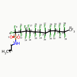 C=CCNS(=O)(=O)C(F)(F)C(F)(F)C(F)(F)C(F)(F)C(F)(F)C(F)(F)C(F)(F)C(F)(F)C(F)(F)C(F)(F)C(F)(F)C(F)(F)F